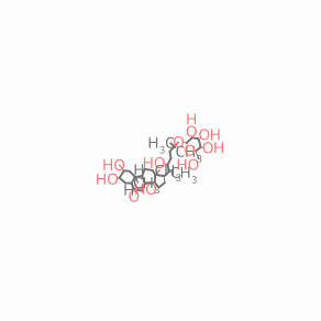 C[C@H](C(O)CCC(C)(C)O[C@@H]1O[C@H](CO)[C@@H](O)[C@H](O)[C@H]1O)[C@H]1CC[C@@]2(O)C3=CC(=O)[C@@H]4C[C@@H](O)[C@@H](O)C[C@]4(C)[C@H]3CC[C@]12C